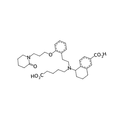 O=C(O)CCCCN(CCc1ccccc1OCCCN1CCCCC1=O)C1CCCc2cc(C(=O)O)ccc21